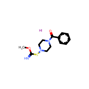 COC(=N)SN1CCN(C(=O)c2ccccc2)CC1.I